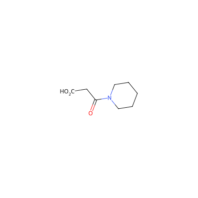 O=C(O)CC(=O)N1CCCCC1